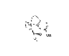 COC(=O)[C@H]1CC[C@]12CCc1ccc(O)cc12